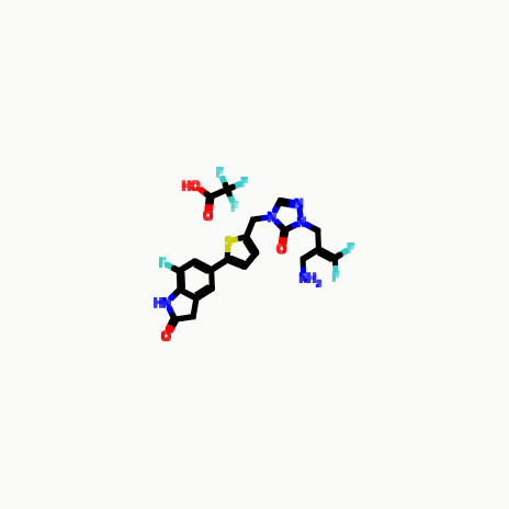 NCC(Cn1ncn(Cc2ccc(-c3cc(F)c4c(c3)CC(=O)N4)s2)c1=O)=C(F)F.O=C(O)C(F)(F)F